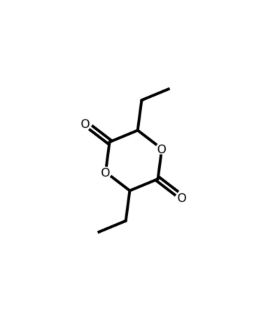 CCC1OC(=O)C(CC)OC1=O